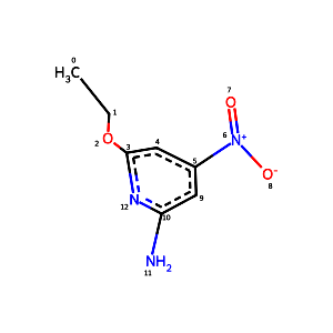 CCOc1cc([N+](=O)[O-])cc(N)n1